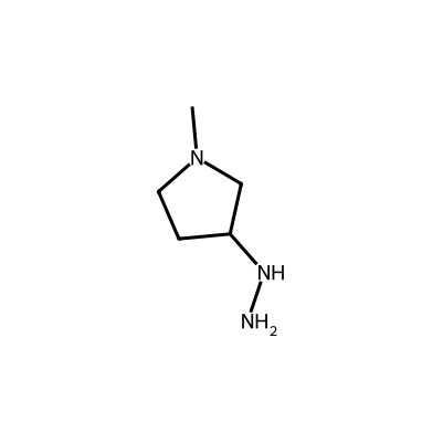 CN1CCC(NN)C1